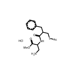 COC(=O)C(CN)NC(=O)C(CSC(C)=O)Cc1ccccc1.Cl